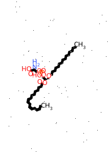 CC/C=C\C/C=C\C/C=C\CCCCCCCC(=O)O[C@H](COCCCCCCCCCCCCCCCC)COP(=O)(O)OC[C@H](N)C(=O)O